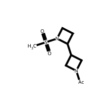 CC(=O)N1CC(C2[CH]CN2S(C)(=O)=O)C1